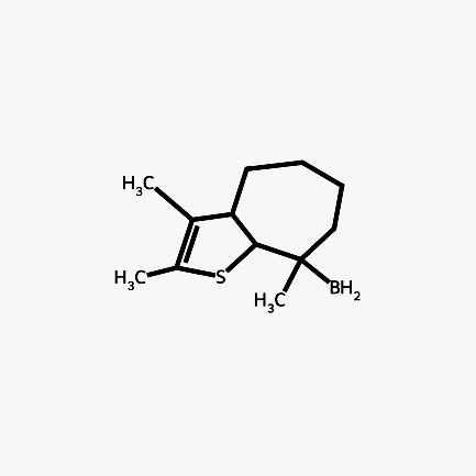 BC1(C)CCCCC2C(C)=C(C)SC21